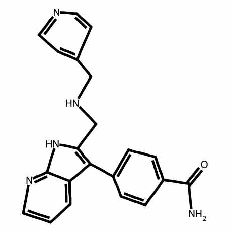 NC(=O)c1ccc(-c2c(CNCc3ccncc3)[nH]c3ncccc23)cc1